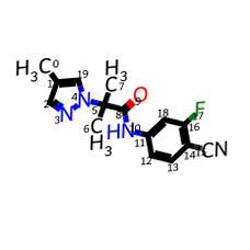 Cc1cnn(C(C)(C)C(=O)Nc2ccc(C#N)c(F)c2)c1